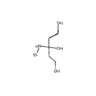 CCNC(O)(CCO)CCO